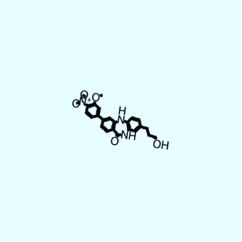 COc1cc(-c2ccc3c(c2)Nc2ccc(CCCO)cc2NC3=O)ccc1[N+](=O)[O-]